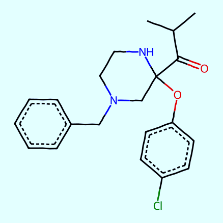 CC(C)C(=O)C1(Oc2ccc(Cl)cc2)CN(Cc2ccccc2)CCN1